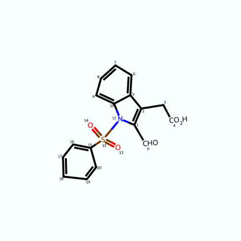 O=Cc1c(CC(=O)O)c2ccccc2n1S(=O)(=O)c1ccccc1